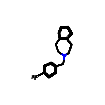 Cc1ccc(CN2CCc3ccccc3CC2)cc1